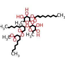 CCCCCCCC=CC(=O)OC1C(OC2C(OC(CCCCCCC)CC(=O)OC(CCCCCCC)CC(=O)OC)OC(C)C(O)C2O)OC(C)C(O)C1O